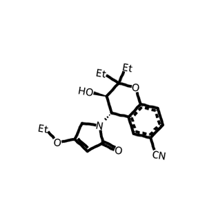 CCOC1=CC(=O)N([C@H]2c3cc(C#N)ccc3OC(CC)(CC)[C@@H]2O)C1